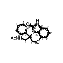 CC(=O)NCC1(c2ccccn2)COc2cccc3[nH]c(=O)n1c23